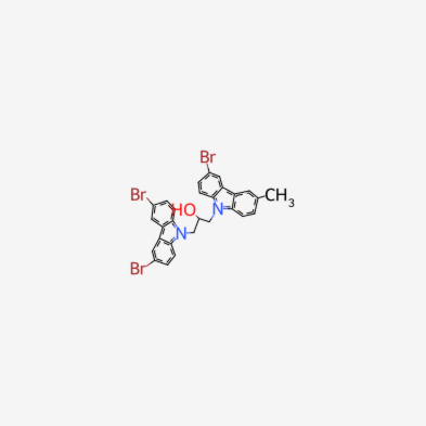 Cc1ccc2c(c1)c1cc(Br)ccc1n2CC(O)Cn1c2ccc(Br)cc2c2cc(Br)ccc21